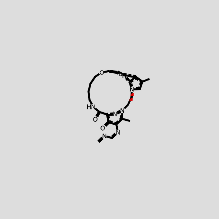 C=N/C=N\c1c(C)n2nc(c1=O)C(=O)NCCCCOc1cnc3c(c1)c(C)cn3C1(CCCC1)C2